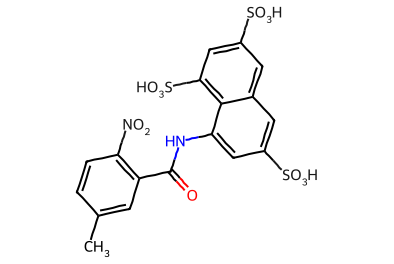 Cc1ccc([N+](=O)[O-])c(C(=O)Nc2cc(S(=O)(=O)O)cc3cc(S(=O)(=O)O)cc(S(=O)(=O)O)c23)c1